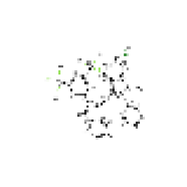 CC1C(c2ccccc2)=[C]([Hf+2][CH]2C(c3cc(C(F)(F)F)cc(C(F)(F)F)c3)=Cc3ccccc32)c2ccccc21.[Cl-].[Cl-]